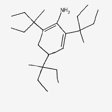 CCC(C)(CC)C1=CC(C(C)(CC)CC)CC(C(C)(CC)CC)=C1N